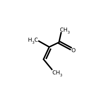 CC=C(C)C(C)=O